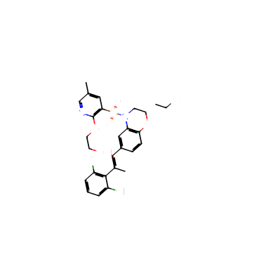 C/C(=C\c1ccc2c(c1)N(S(=O)(=O)c1cc(C)cnc1OC[C@@H](C)O)C[C@H](CCC(=O)O)O2)c1c(F)cccc1Cl